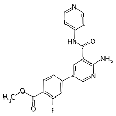 COC(=O)c1ccc(-c2cnc(N)c(C(=O)Nc3ccncc3)c2)cc1F